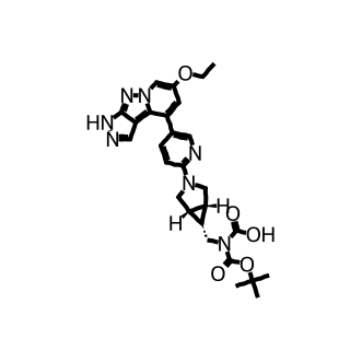 CCOc1cc(-c2ccc(N3C[C@@H]4[C@H](CN(C(=O)O)C(=O)OC(C)(C)C)[C@@H]4C3)nc2)c2c3cn[nH]c3nn2c1